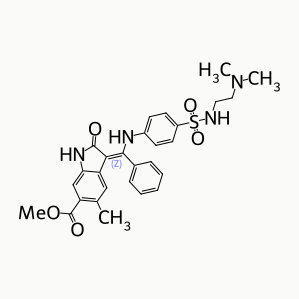 COC(=O)c1cc2c(cc1C)/C(=C(/Nc1ccc(S(=O)(=O)NCCN(C)C)cc1)c1ccccc1)C(=O)N2